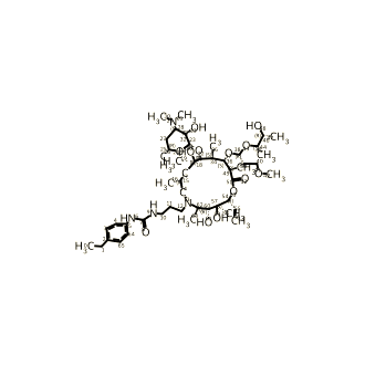 CCc1ccc(NC(=O)NCCCN2C[C@H](C)C[C@@](C)(O)[C@H](O[C@@H]3O[C@H](C)C[C@H](N(C)C)[C@H]3O)[C@@H](C)[C@H](O[C@@H](CCOC)O[C@@H](C)[C@@H](C)O)[C@@H](C)C(=O)O[C@H](CC)[C@@](C)(O)[C@H](O)[C@H]2C)cc1